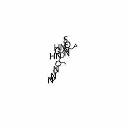 CCc1cc(N2CC(n3ccnc3)C2)ccc1C1Cc2nn(CCC3CC3)c(NC(=O)CSC)c2C(=O)N1